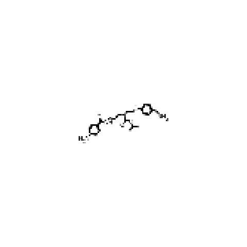 CC(C)OC(=O)N(CCCNC(=O)c1ccc(N)cc1)CCOc1ccc(CN)cc1